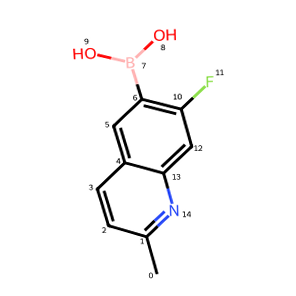 Cc1ccc2cc(B(O)O)c(F)cc2n1